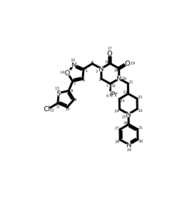 CC(C)[C@H]1CN(Cc2cc(-c3ccc(Cl)s3)on2)C(=O)C(=O)N1CC1CCN(c2ccncc2)CC1